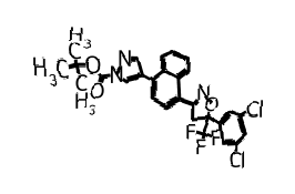 CC(C)(C)OC(=O)n1cc(-c2ccc(C3=NOC(c4cc(Cl)cc(Cl)c4)(C(F)(F)F)C3)c3ccccc23)cn1